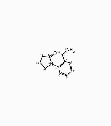 NCc1ccc[c]c1N1CCCC1=O